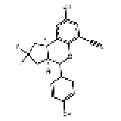 N#Cc1cc(O)cc2c1O[C@@H](C1C=CC(O)=CC1)[C@H]1CC(F)(F)C[C@@H]21